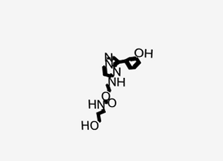 O=C(NCCCO)OCCNc1ccn2ncc(-c3cccc(O)c3)c2n1